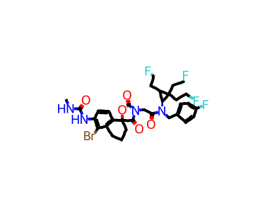 CNC(=O)Nc1ccc2c(c1Br)CCCC21OC(=O)N(CC(=O)N(Cc2ccc(F)cc2)[C@H]2C(CCF)C2(CCF)CCF)C1=O